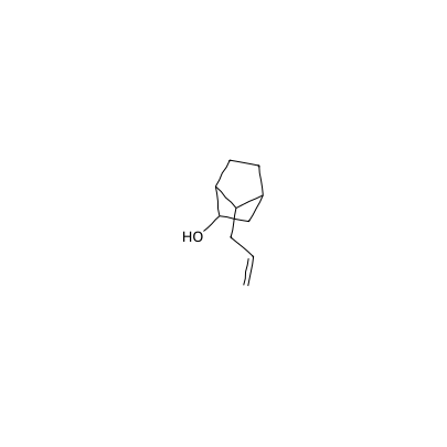 C=CCC1C2CCC1C(O)C2